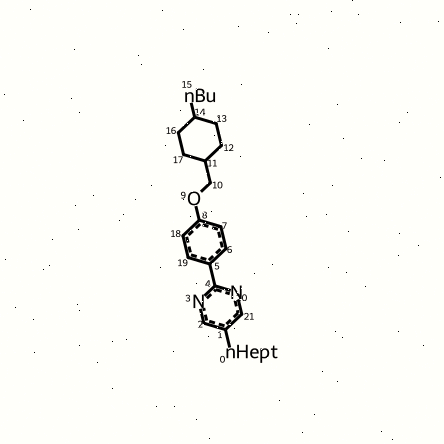 CCCCCCCc1cnc(-c2ccc(OCC3CCC(CCCC)CC3)cc2)nc1